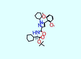 COc1cccc(OC)c1-c1cc(C(=O)N[C@H](C(=O)OC(C)(C)C)C2CCCCC2)nn1C1CCCCC1